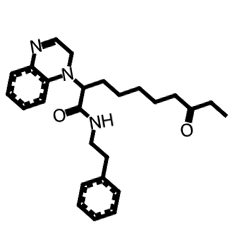 CCC(=O)CCCCCC(C(=O)NCCc1ccccc1)N1CC=Nc2ccccc21